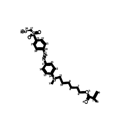 C=C(C)C(=O)OCCCCCCN(C)c1ccc(N=Nc2ccc(S(=O)(=O)C[C@H](C)CC)cc2)cc1